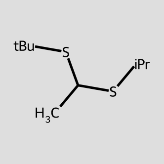 CC(C)SC(C)SC(C)(C)C